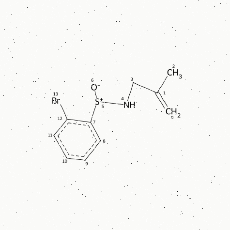 C=C(C)CN[S+]([O-])c1ccccc1Br